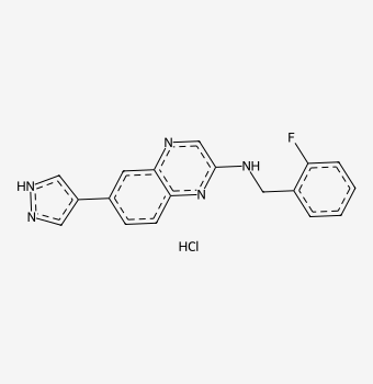 Cl.Fc1ccccc1CNc1cnc2cc(-c3cn[nH]c3)ccc2n1